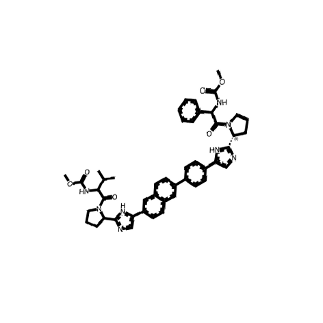 COC(=O)NC(C(=O)N1CCC[C@@H]1c1ncc(-c2ccc(-c3ccc4cc(-c5cnc(C6CCCN6C(=O)C(NC(=O)OC)C(C)C)[nH]5)ccc4c3)cc2)[nH]1)c1ccccc1